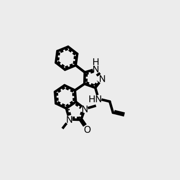 C=CCNc1n[nH]c(-c2ccccc2)c1-c1cccc2c1n(C)c(=O)n2C